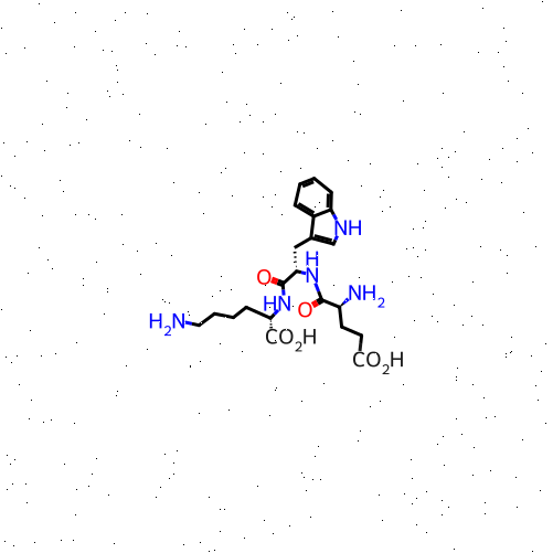 NCCCC[C@H](NC(=O)[C@H](Cc1c[nH]c2ccccc12)NC(=O)[C@@H](N)CCC(=O)O)C(=O)O